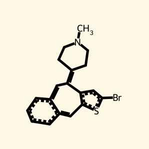 CN1CCC(=C2C=c3ccccc3=Cc3sc(Br)cc32)CC1